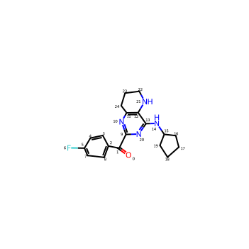 O=C(c1ccc(F)cc1)c1nc2c(c(NC3CCCC3)n1)NCCC2